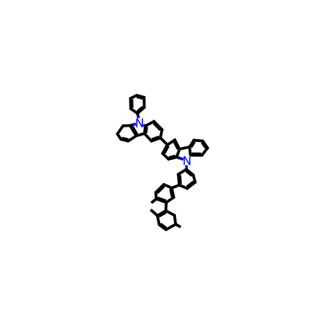 CC1=C(c2cc(-c3cccc(-n4c5ccccc5c5cc(-c6ccc7c(c6)c6c(n7-c7ccccc7)CCC=C6)ccc54)c3)ccc2C)CC(C)C=C1